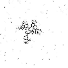 COc1ccc([C@H]2O[C@H](CC(=O)N3CCCC(C(=O)O)C3)C(=O)N3c4c(cc(C)cc42)CC[C@H]3C(C)(C)C)c(Cl)c1OC